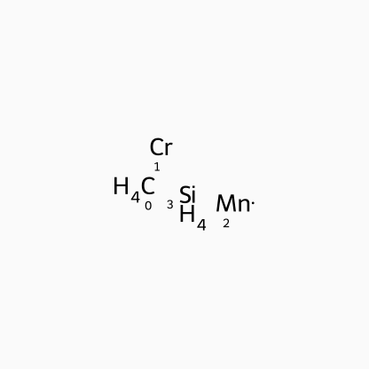 C.[Cr].[Mn].[SiH4]